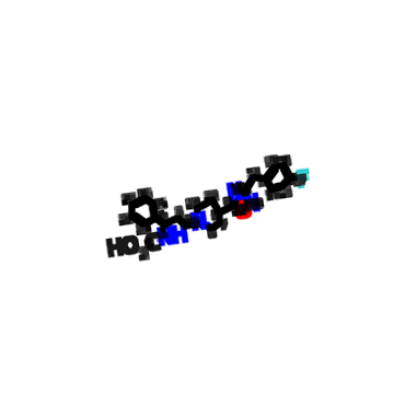 O=C(O)NC(CCN1CCC(c2nc(Cc3ccc(F)cc3)no2)CC1)c1ccccc1